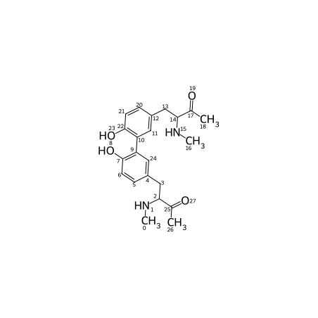 CNC(Cc1ccc(O)c(-c2cc(CC(NC)C(C)=O)ccc2O)c1)C(C)=O